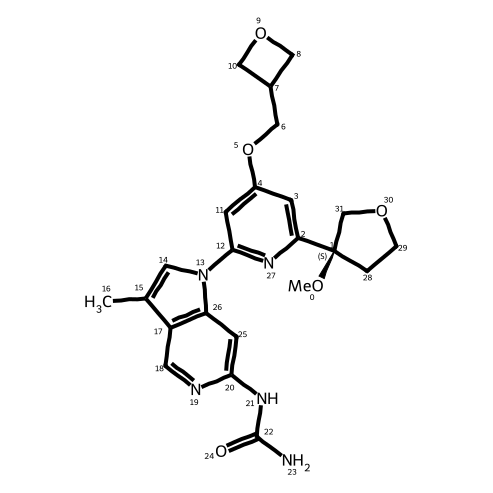 CO[C@]1(c2cc(OCC3COC3)cc(-n3cc(C)c4cnc(NC(N)=O)cc43)n2)CCOC1